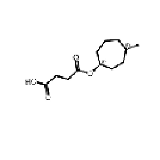 C[C@@H]1CCC[C@H](OC(=O)CCC(=O)O)CC1